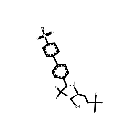 CS(=O)(=O)c1ccc(-c2ccc([C@H](N[C@H](CO)CCC(F)(F)F)C(F)(F)F)cc2)cc1